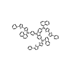 c1ccc(-c2ccc(-c3ccc(N(c4ccc(-n5c6ccc(N(c7ccc(-c8ccc(-c9ccccc9)s8)s7)c7cccc8ccccc78)cc6c6cc(N(c7ccc(-c8ccc(-c9ccccc9)s8)s7)c7cccc8ccccc78)ccc65)cc4)c4cccc5ccccc45)s3)s2)cc1